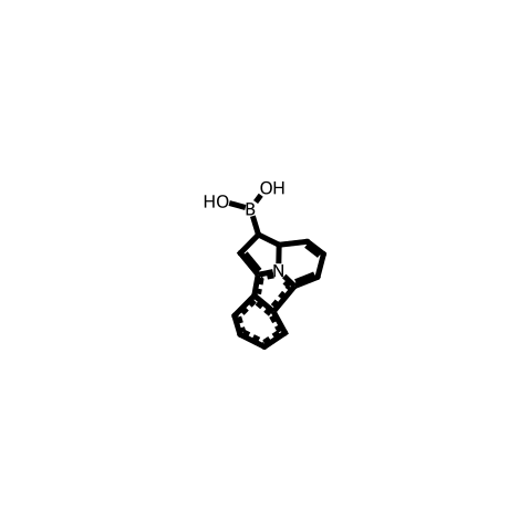 OB(O)C1C=c2c3ccccc3c3n2C1C=CC=3